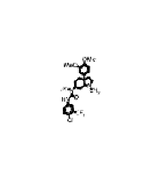 COc1ccc(C23CCC(N(C(=O)Nc4ccc(Cl)c(C(F)(F)F)c4)C(C)C)CC2N(C)CC3)cc1OC